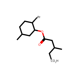 CC(CC(=O)O)CC(=O)OC1CC(C)CCC1C(C)C